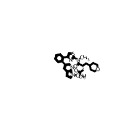 CN(C(=O)[C@@H](CC(=O)O)CC1CCOCC1)c1nc(-c2ccccc2-c2cnc3c(ccn3C)c2)cs1